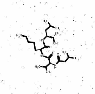 CC(C)CC(=O)N[C@H](C(=O)N[C@@H](CCCCN)C(=O)N[C@@H](CC(C)C)[C@H](C)O)C(C)C